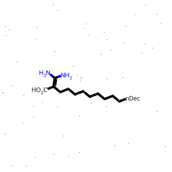 CCCCCCCCCCCCCCCCCCCC(C(=O)O)=C(N)N